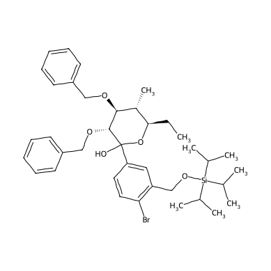 CC[C@H]1OC(O)(c2ccc(Br)c(CO[Si](C(C)C)(C(C)C)C(C)C)c2)[C@H](OCc2ccccc2)[C@@H](OCc2ccccc2)[C@@H]1C